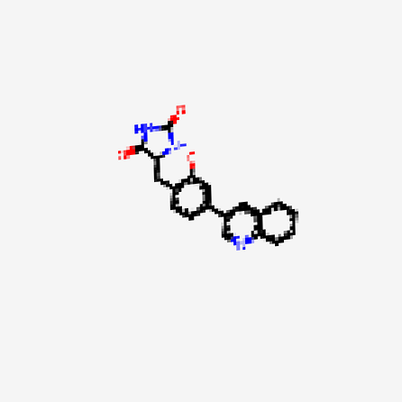 O=C1NC(=O)C(Cc2ccc(-c3cnc4ccccc4c3)cc2O)N1